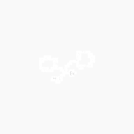 CC(Br)(Cc1ccccc1)c1ccccc1